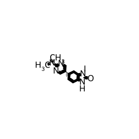 CN(C)c1ncc([C@H]2C=Cc3[nH]c(=O)n(I)c3C2)cn1